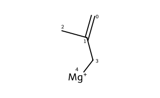 C=C(C)[CH2][Mg+]